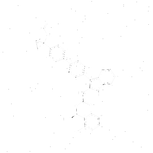 C[C@@H](OC(=O)Nc1[nH]c2ccccc2c1-c1ccc(-c2ccc(C3(OC=O)CC3)cc2)cc1)c1ccccc1Cl